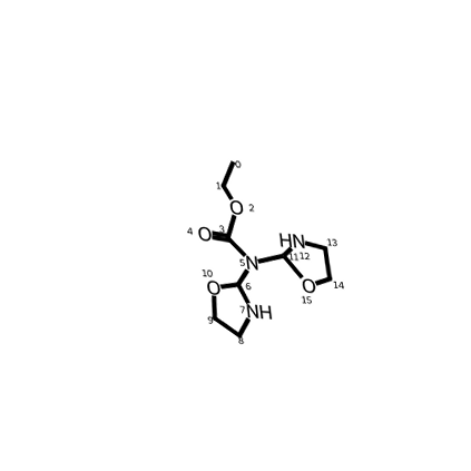 CCOC(=O)N(C1NCCO1)C1NCCO1